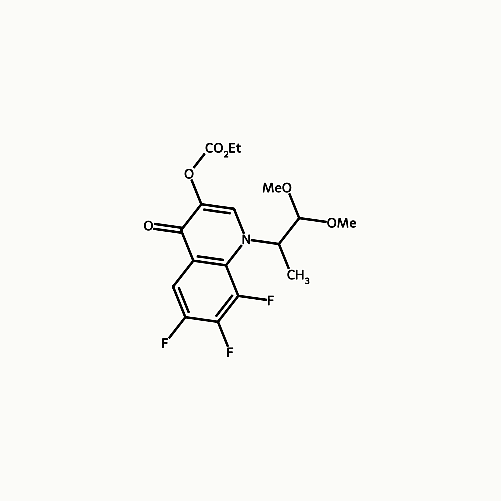 CCOC(=O)Oc1cn(C(C)C(OC)OC)c2c(F)c(F)c(F)cc2c1=O